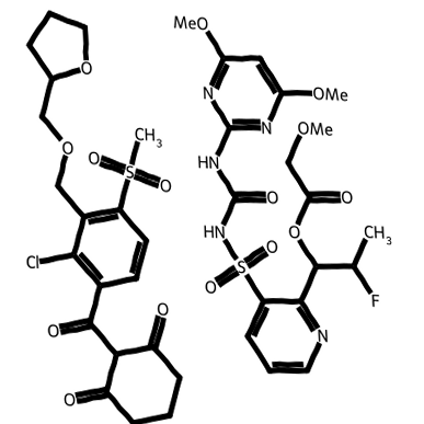 COCC(=O)OC(c1ncccc1S(=O)(=O)NC(=O)Nc1nc(OC)cc(OC)n1)C(C)F.CS(=O)(=O)c1ccc(C(=O)C2C(=O)CCCC2=O)c(Cl)c1COCC1CCCO1